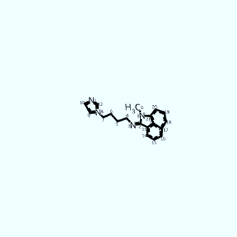 CN1C(=NCCCCn2ccnc2)c2cccc3cccc1c23